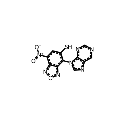 O=[N+]([O-])c1cc(S)c(-n2cnc3cncnc32)c2nonc12